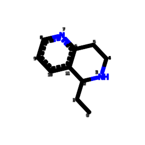 CCC1NCCc2ncccc21